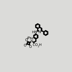 CC(C)Oc1c(NC(Cc2ccc(Nc3nc(-c4ccccc4)cc4ccccc34)cc2)C(=O)O)c(=O)c1=O